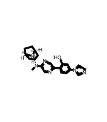 CN(c1cnc(-c2ccc(-n3ccnc3)cc2O)cn1)[C@@H]1C[C@H]2CC[C@@H](C1)N2